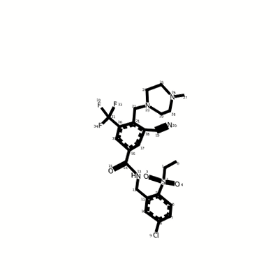 CCS(=O)(=O)c1ccc(Cl)cc1CNC(=O)c1cc(C#N)c(CN2CCN(C)CC2)c(C(F)(F)F)c1